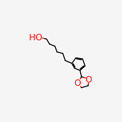 OCCCCCCc1cccc(C2OCCO2)c1